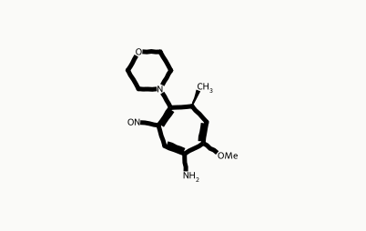 COC1=C[C@H](C)C(N2CCOCC2)=C(N=O)C=C1N